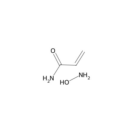 C=CC(N)=O.NO